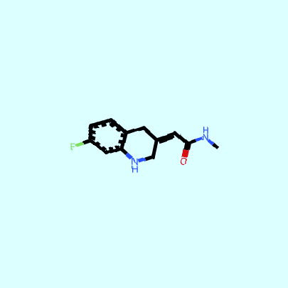 CNC(=O)C=C1CNc2cc(F)ccc2C1